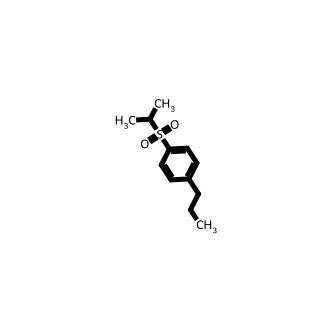 CCCc1ccc(S(=O)(=O)C(C)C)cc1